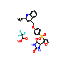 Cc1cc(COc2ccc(S(=O)(=O)c3ccoc3C3NC(=O)NC3=O)cc2)c2ccccc2n1.O=C(O)C(F)(F)F